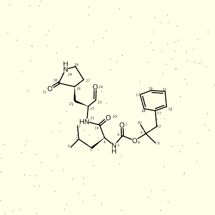 CC(C)C[C@H](NC(=O)OC(C)(C)Cc1ccccc1)C(=O)N[C@H](C=O)C[C@@H]1CCNC1=O